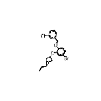 CCCN1CC(Oc2cc(Br)ccc2OCc2cccc(Cl)c2)C1